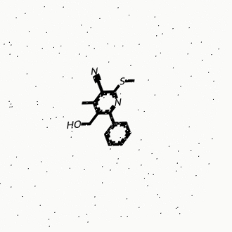 CSc1nc(-c2ccccc2)c(CO)c(C)c1C#N